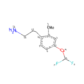 COc1cc(OC(F)F)ccc1CCN